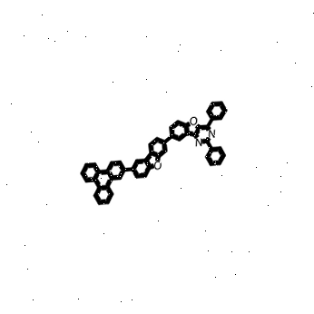 c1ccc(-c2nc(-c3ccccc3)c3oc4ccc(-c5ccc6c(c5)oc5ccc(-c7ccc8c9ccccc9c9ccccc9c8c7)cc56)cc4c3n2)cc1